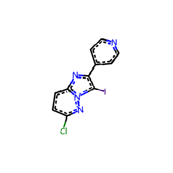 Clc1ccc2nc(-c3ccncc3)c(I)n2n1